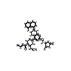 Cc1cccc2cccc(N3CCc4c(nc(OC[C@@H]5C[C@@H](F)CN5C)nc4N4CCN(C(=O)/C=C/F)C(CC#N)C4)C3)c12